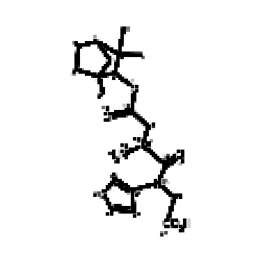 CC12CCC(C1)C(C)(C)C2OC(=O)C[C@H](N)C(=O)N(CC(=O)O)c1ccsc1